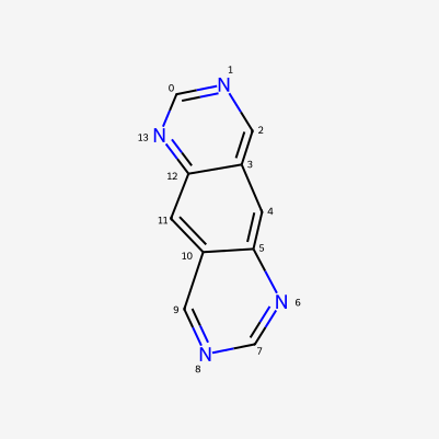 c1ncc2cc3ncncc3cc2n1